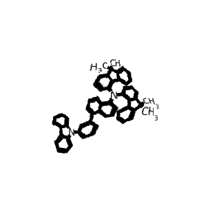 CC1(C)c2ccccc2-c2c(N(c3cccc4c3-c3ccccc3C4(C)C)c3cccc4c(-c5cccc(-n6c7ccccc7c7ccccc76)c5)cccc34)cccc21